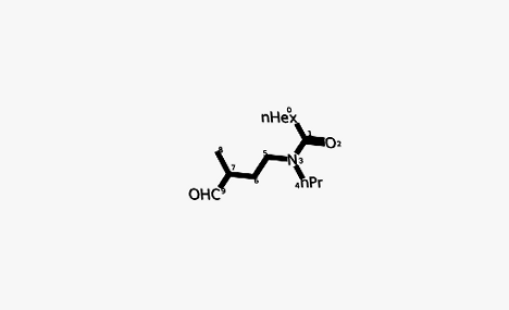 CCCCCCC(=O)N(CCC)CCC(C)C=O